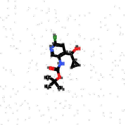 CC(C)(C)OC(=O)Nc1cnc(Cl)cc1C(O)C1CC1